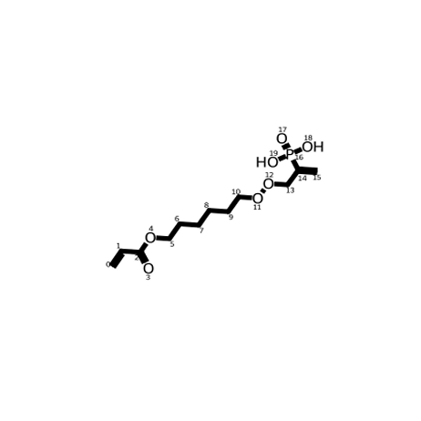 C=CC(=O)OCCCCCCOOCC(=C)P(=O)(O)O